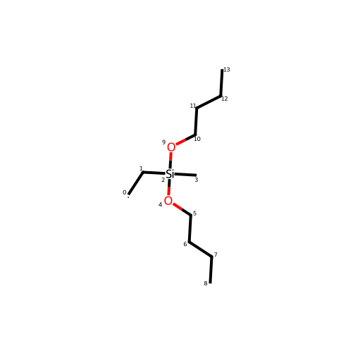 [CH2]C[Si](C)(OCCCC)OCCCC